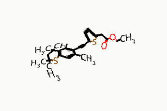 CCOC(=O)Cc1ccc(C#Cc2cc3c(cc2C)SC(C)(C)CC3(C)C)s1